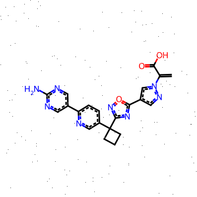 C=C(C(=O)O)n1cc(-c2nc(C3(c4ccc(-c5cnc(N)nc5)nc4)CCC3)no2)cn1